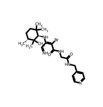 C[C@@H]1CCC(C)(C)[C@@H](N/C(C=N)=C(\Br)C(=O)NCC(=O)NCc2ccncc2)C1(C)C